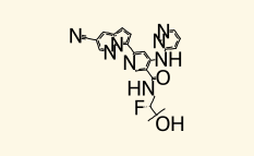 CC(C)(O)[C@H](F)CNC(=O)c1cnc(-c2ccc3cc(C#N)cnn23)cc1Nc1cccnn1